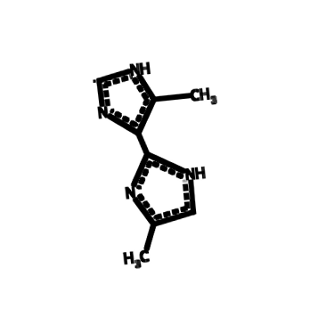 Cc1c[nH]c(-c2n[c][nH]c2C)n1